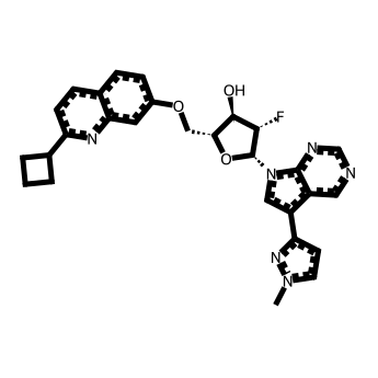 Cn1ccc(-c2cn([C@@H]3O[C@H](COc4ccc5ccc(C6CCC6)nc5c4)[C@@H](O)[C@@H]3F)c3ncncc23)n1